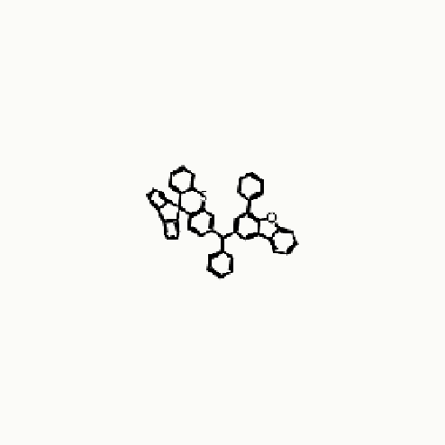 c1ccc(-c2cc(C(c3ccccc3)c3ccc4c(c3)Sc3ccccc3C43c4ccccc4-c4ccccc43)cc3c2oc2ccccc23)cc1